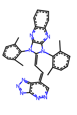 Cc1cccc(C)c1N1C(=C/C=c2/cnnc3c2=NN=N3)N(c2c(C)cccc2C)c2nc3ccccc3nc21